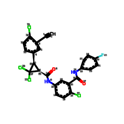 C#Cc1cc([C@H]2[C@H](C(=O)Nc3ccc(Cl)c(C(=O)Nc4ccc(F)cc4)c3)C2(Cl)Cl)ccc1Cl